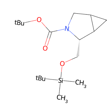 CC(C)(C)OC(=O)N1CC2CC2[C@@H]1CO[Si](C)(C)C(C)(C)C